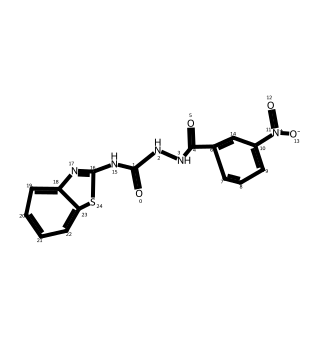 O=C(NNC(=O)c1cccc([N+](=O)[O-])c1)Nc1nc2ccccc2s1